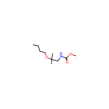 CCCCOC(C)(C)CNC(=O)OC